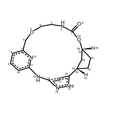 O=C1NCCOCc2cccc(n2)Nc2cc([nH]n2)[C@H]2CC[C@H](C2)O1